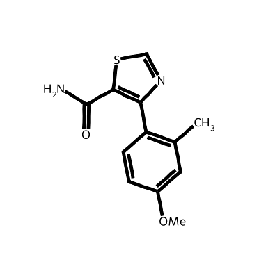 COc1ccc(-c2ncsc2C(N)=O)c(C)c1